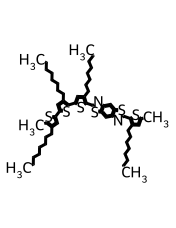 CCCCCCCCc1cc(-c2cc(CCCCCCCC)c(-c3cc(CCCCCCCC)c(-c4nc5cc6sc(-c7sc(C)cc7CCCCCCCC)nc6cc5s4)s3)s2)sc1C